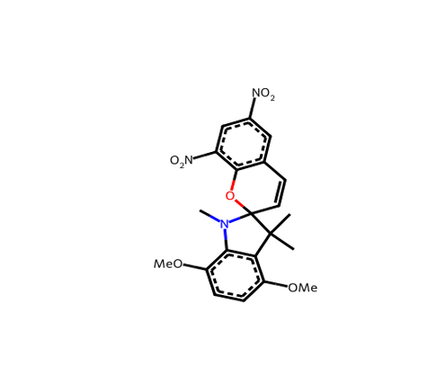 COc1ccc(OC)c2c1N(C)C1(C=Cc3cc([N+](=O)[O-])cc([N+](=O)[O-])c3O1)C2(C)C